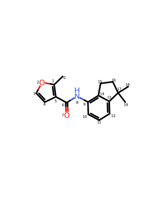 Cc1occc1C(=O)Nc1cccc2c1CCC2(C)C